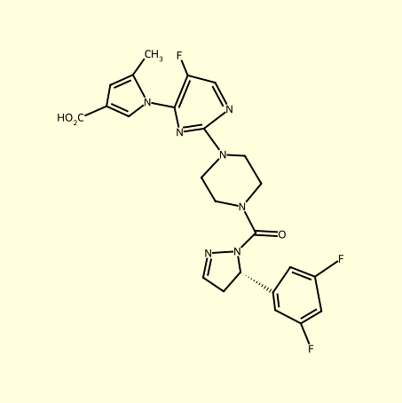 Cc1cc(C(=O)O)cn1-c1nc(N2CCN(C(=O)N3N=CC[C@H]3c3cc(F)cc(F)c3)CC2)ncc1F